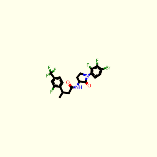 CC(CC(=O)NC1CCN(c2ccc(Br)c(F)c2F)C1=O)c1ccc(C(F)(F)F)cc1F